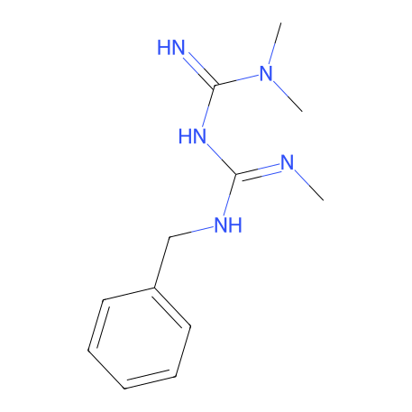 C/N=C(\NCc1ccccc1)NC(=N)N(C)C